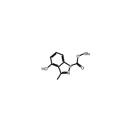 Cc1nn(C(=O)OC(C)(C)C)c2cccc(O)c12